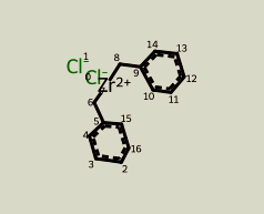 [Cl-].[Cl-].c1ccc([CH2][Zr+2][CH2]c2ccccc2)cc1